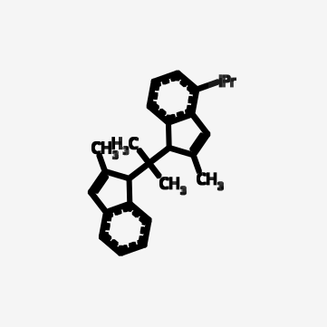 CC1=Cc2ccccc2C1C(C)(C)C1C(C)=Cc2c(C(C)C)cccc21